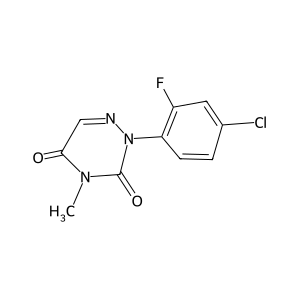 Cn1c(=O)cnn(-c2ccc(Cl)cc2F)c1=O